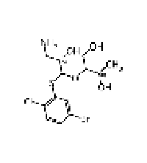 C[C@@H](O)C(CO)OC(Sc1cc(Br)ccc1Cl)[C@@H](O)CN